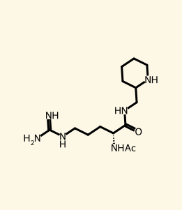 CC(=O)N[C@H](CCCNC(=N)N)C(=O)NCC1CCCCN1